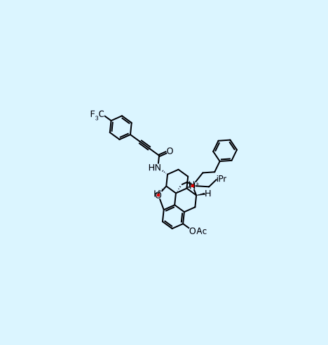 CC(=O)Oc1ccc2c3c1C[C@@H]1[C@@H]4CC[C@@H](NC(=O)C#Cc5ccc(C(F)(F)F)cc5)[C@H](O2)[C@]34CC[N+]1(CCc1ccccc1)CC(C)C